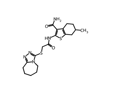 CC1CCc2c(sc(NC(=O)CSc3nnc4n3CCCCC4)c2C(N)=O)C1